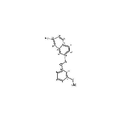 CC(=O)Cc1cccc(OCc2ccc3ccc(F)cc3c2)c1